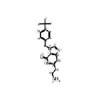 CC(C)(C)c1ccc(Cn2cnc3nc(CCN)[nH]c(=O)c32)cc1